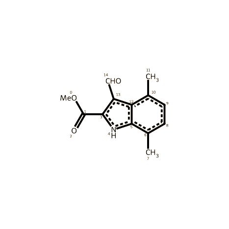 COC(=O)c1[nH]c2c(C)ccc(C)c2c1C=O